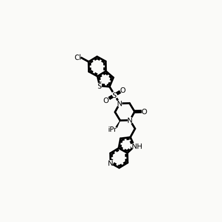 CC(C)[C@H]1CN(S(=O)(=O)c2cc3ccc(Cl)cc3s2)CC(=O)N1Cc1cc2cnccc2[nH]1